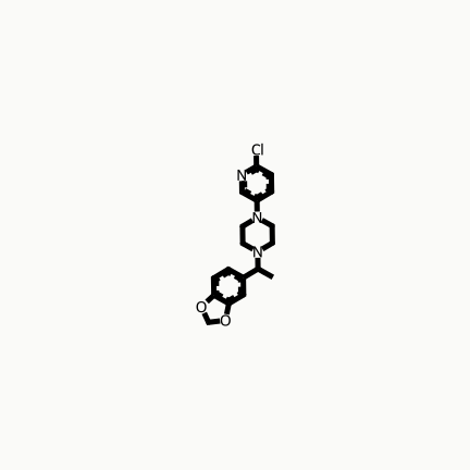 CC(c1ccc2c(c1)OCO2)N1CCN(c2ccc(Cl)nc2)CC1